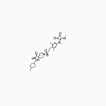 Cc1cc(N(C)c2c(N(C)C)c(=O)c2=O)cc(C)c1CCS(=O)(=O)N1CCC2(CC1)N=C(C1CCC(C)CC1)NC2=O